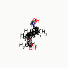 C=C(C)[C@@H]1CC[C@]2(CCN3CCC(O)C3)CC[C@]3(C)[C@H](CC[C@@H]4[C@@]5(C)CC[C@H](OC(=O)CC(C)(C)CC(=O)O)C(C)(C)[C@@H]5CC[C@]43C)[C@@H]12